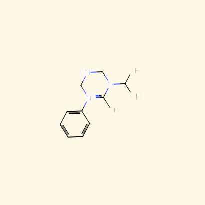 CCCC1=[N+](c2ccccc2)CNCN1C(C)C(F)(F)F